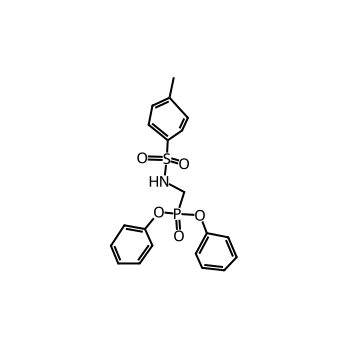 Cc1ccc(S(=O)(=O)NCP(=O)(Oc2ccccc2)Oc2ccccc2)cc1